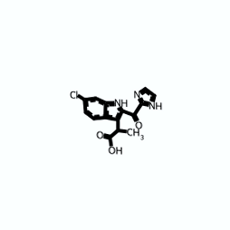 CC(C(=O)O)c1c(C(=O)c2ncc[nH]2)[nH]c2cc(Cl)ccc12